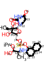 C#C[C@@]1(O)[C@H](O)[C@@H](COP(=S)(N[C@@H](C)C(O)OC(C)C)Oc2cccc3ccccc23)O[C@H]1n1ccc(=O)[nH]c1=O